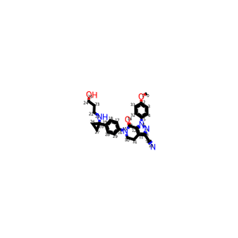 COc1ccc(-n2nc(C#N)c3c2C(=O)N(c2ccc(C4(NCCCO)CC4)cc2)CC3)cc1